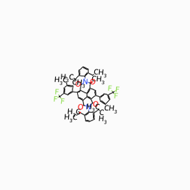 Cc1cc(-c2cc3c4c(c(-c5cc(C)cc(C(F)(F)F)c5)cc5c4c2C(=O)N(c2c(C(C)C)cccc2C(C)C)C5=O)C(=O)N(c2c(C(C)C)cccc2C(C)C)C3=O)cc(C(F)(F)F)c1